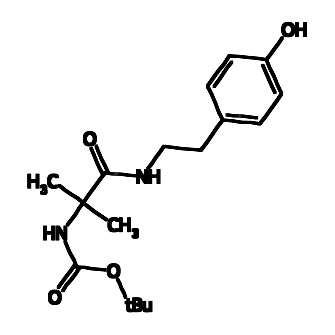 CC(C)(C)OC(=O)NC(C)(C)C(=O)NCCc1ccc(O)cc1